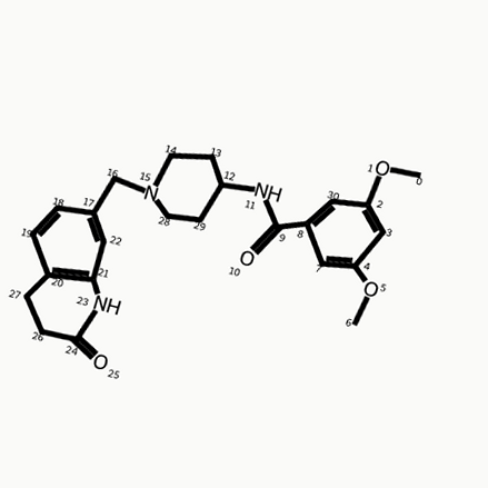 COc1cc(OC)cc(C(=O)NC2CCN(Cc3ccc4c(c3)NC(=O)CC4)CC2)c1